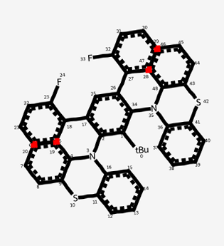 CC(C)(C)c1c(N2c3ccccc3Sc3ccccc32)c(-c2ccccc2F)cc(-c2ccccc2F)c1N1c2ccccc2Sc2ccccc21